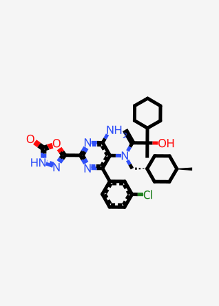 C=C(N(C[C@H]1CC[C@H](C)CC1)c1c(N)nc(-c2n[nH]c(=O)o2)nc1-c1cccc(Cl)c1)C(C)(O)C1CCCCC1